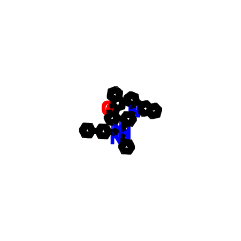 c1ccc(-c2ccc(-c3nc(-c4ccccc4)nc(-c4ccc(-n5c6ccccc6c6cc7ccccc7cc65)cc4-c4cccc5oc6c7ccccc7ccc6c45)n3)cc2)cc1